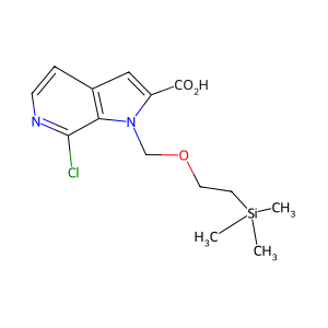 C[Si](C)(C)CCOCn1c(C(=O)O)cc2ccnc(Cl)c21